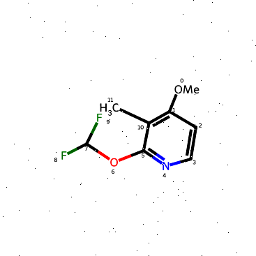 COc1ccnc(OC(F)F)c1C